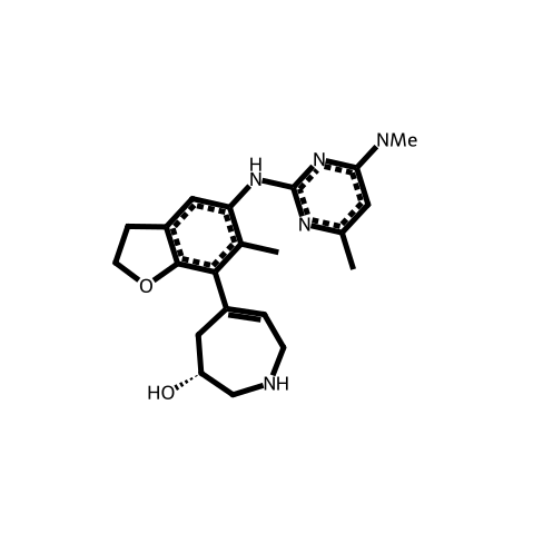 CNc1cc(C)nc(Nc2cc3c(c(C4=CCNC[C@H](O)C4)c2C)OCC3)n1